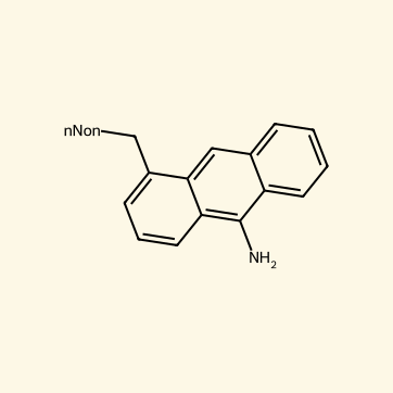 CCCCCCCCCCc1cccc2c(N)c3ccccc3cc12